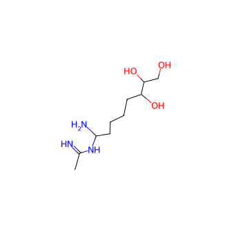 CC(=N)NC(N)CCCCC(O)C(O)CO